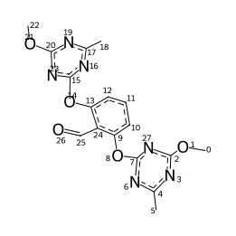 COc1nc(C)nc(Oc2cccc(Oc3nc(C)nc(OC)n3)c2C=O)n1